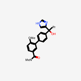 CNC(=O)c1ccc(OC)c(-c2ccc(C(O)(c3c[nH]cn3)C(C)C)cc2)c1